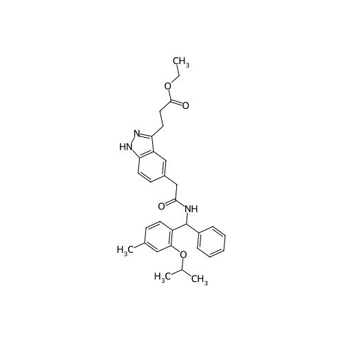 CCOC(=O)CCc1n[nH]c2ccc(CC(=O)NC(c3ccccc3)c3ccc(C)cc3OC(C)C)cc12